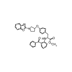 COC(=O)C(Cc1ccc(OC2CCN(c3nc4ccccc4o3)C2)cc1)Nc1ccccc1C(=O)c1ccccc1